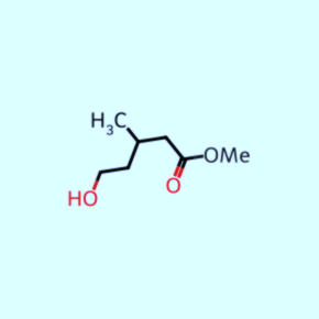 COC(=O)CC(C)CCO